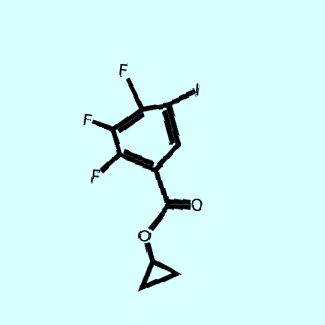 O=C(OC1CC1)c1cc(I)c(F)c(F)c1F